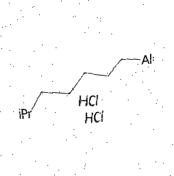 CC(C)CCCC[CH2][Al].Cl.Cl